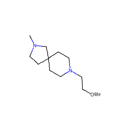 COCCN1CCC2(CCN(C)C2)CC1